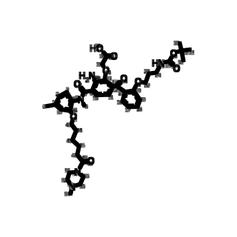 Cc1ccc(N(C)C(=O)c2ccc(C(=O)c3ccccc3OCCCNC(=O)OC(C)(C)C)c(OCC(=O)O)c2N)c(OCCCCCC(=O)N2CCN(C)CC2)c1